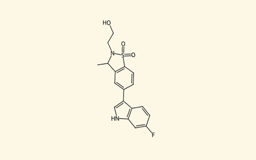 CC1c2cc(-c3c[nH]c4cc(F)ccc34)ccc2S(=O)(=O)N1CCO